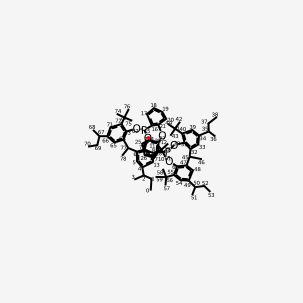 CCC(C)c1cc2c(c(C(C)(C)C)c1)OP(c1ccccc1Oc1ccccc1P1Oc3c(cc(C(C)CC)cc3C(C)(C)C)C(C)c3cc(C(C)CC)cc(C(C)(C)C)c3O1)Oc1c(cc(C(C)CC)cc1C(C)(C)C)C2C